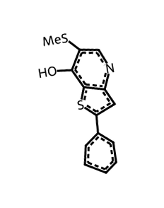 CSc1cnc2cc(-c3ccccc3)sc2c1O